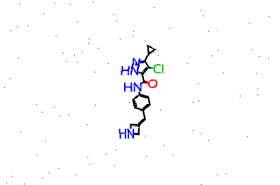 O=C(Nc1ccc(C=C2CNC2)cc1)c1[nH]nc(C2CC2)c1Cl